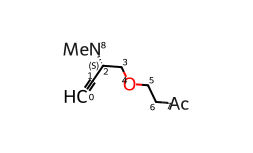 C#C[C@@H](COCCC(C)=O)NC